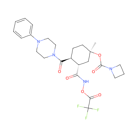 C[C@@]1(OC(=O)N2CCC2)CC[C@H](C(=O)N2CCN(c3ccccc3)CC2)[C@@H](C(=O)NOC(=O)C(F)(F)F)C1